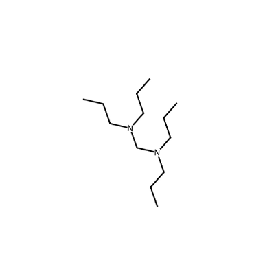 CCCN(CCC)CN(CCC)CCC